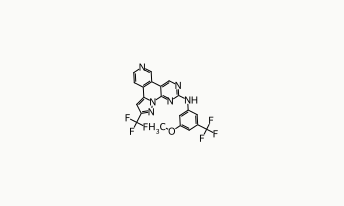 COc1cc(Nc2ncc3c4cnccc4c4cc(C(F)(F)F)nn4c3n2)cc(C(F)(F)F)c1